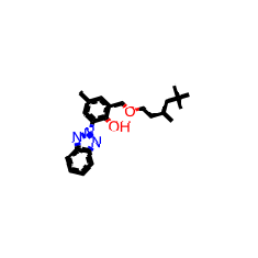 Cc1cc(COCCC(C)CC(C)(C)C)c(O)c(-n2nc3ccccc3n2)c1